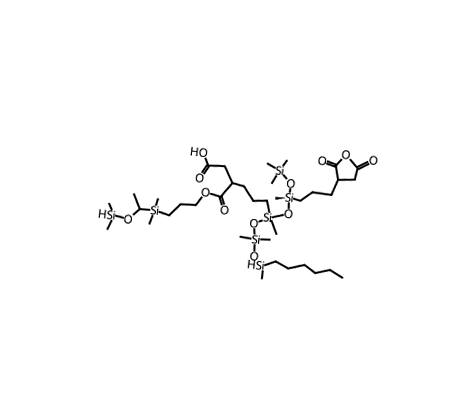 CCCCCC[SiH](C)O[Si](C)(C)O[Si](C)(CCCC(CC(=O)O)C(=O)OCCC[Si](C)(C)C(C)O[SiH](C)C)O[Si@@](C)(CCCC1CC(=O)OC1=O)O[Si](C)(C)C